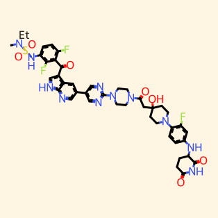 CCN(C)S(=O)(=O)Nc1ccc(F)c(C(=O)c2c[nH]c3ncc(-c4cnc(N5CCN(C(=O)CC6(O)CCN(c7ccc(NC8CCC(=O)NC8=O)cc7F)CC6)CC5)nc4)cc23)c1F